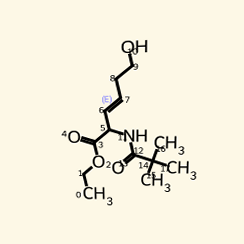 CCOC(=O)C(/C=C/CCO)NC(=O)C(C)(C)C